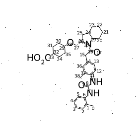 Cc1ccccc1NC(=O)Nc1ccc(CC(=O)N2C3CCCCC3C[C@H]2COC2CCC(C(=O)O)CC2)cc1C